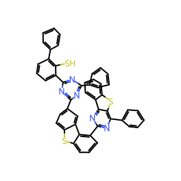 Sc1c(-c2ccccc2)cccc1-c1nc(-c2ccccc2)nc(-c2ccc3sc4cccc(-c5nc(-c6ccccc6)c6sc7ccccc7c6n5)c4c3c2)n1